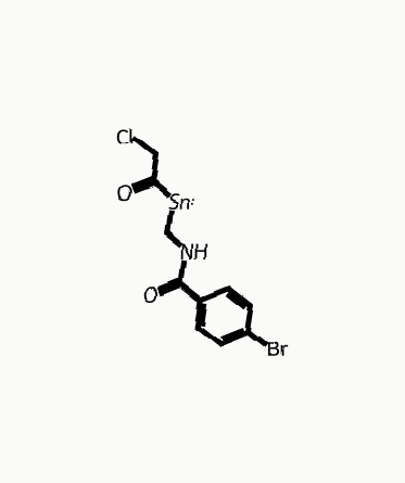 O=[C](CCl)[Sn][CH2]NC(=O)c1ccc(Br)cc1